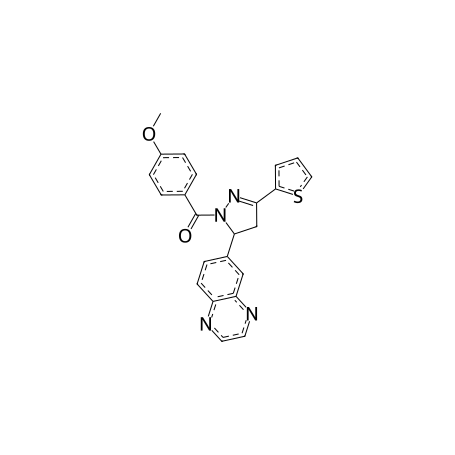 COc1ccc(C(=O)N2N=C(c3cccs3)CC2c2ccc3nccnc3c2)cc1